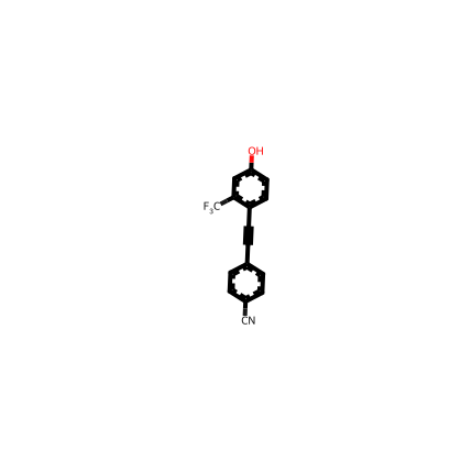 N#Cc1ccc(C#Cc2ccc(O)cc2C(F)(F)F)cc1